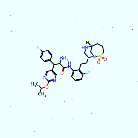 CC(C)Oc1ncc(C(c2ccc(F)cc2)C(N)C(=O)Nc2cccc(F)c2CC[C@H]2CN[C@@H]3CCCS(=O)(=O)N2C3)cn1